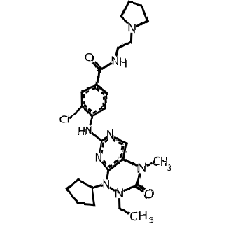 CCN1C(=O)N(C)c2cnc(Nc3ccc(C(=O)NCCN4CCCC4)cc3Cl)nc2N1C1CCCC1